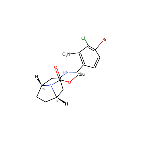 CC(C)(C)OC(=O)N1[C@@H]2CC[C@H]1CC(NCc1ccc(Br)c(Cl)c1[N+](=O)[O-])C2